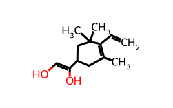 C=CC1=C(C)CC(C(O)=CO)CC1(C)C